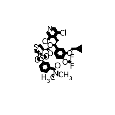 CN(C)C(=O)c1cccc(S(=O)(=O)N2CSC[C@H]2C(=O)O[C@@H](Cc2c(Cl)cncc2Cl)c2ccc(OC(F)F)c(OCC3CC3)c2)c1